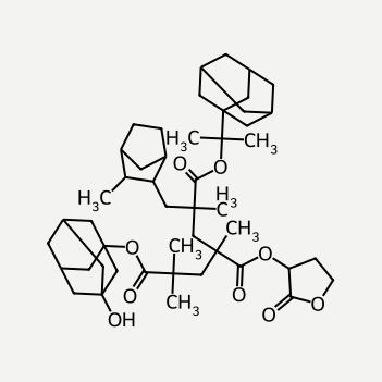 CC1C2CCC(C2)C1CC(C)(CC(C)(CC(C)(C)C(=O)OC12CC3CC(CC(O)(C3)C1)C2)C(=O)OC1CCOC1=O)C(=O)OC(C)(C)C12CC3CC(CC(C3)C1)C2